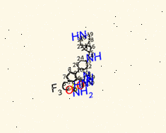 NS(=O)(=O)c1c(C(F)(F)F)ccc(C2CCC(NC3CC4(CCNCC4)C3)CC2)c1-c1nnn[nH]1